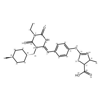 CCn1c(=O)[nH]/c(=N\c2ccc(OC3=NC(C)C(C(=O)O)S3)cc2)n(C[C@H]2CC[C@H](C)CC2)c1=O